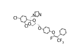 FC(Oc1ccc(OC[C@@H]2CO[C@@](Cn3ccnc3)(c3ccc(Cl)cc3Cl)O2)cc1)=C(c1ccccc1)C(F)(F)F